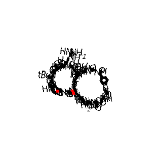 CC[C@H](C)[C@@H]1NC(=O)CNC(=O)C2CCC(CC2)CNC(=O)CNC(=O)C[C@@H](C(N)=O)NC(=O)[C@@H]2CCCN2C(=O)[C@H]([C@@H](C)CC)NC(=O)[C@@H]2CSSC[C@H](NC1=O)C(=O)N[C@@H](CO)C(=O)N[C@@H](CCCNC(=N)N)C(=O)N[C@@H](CO)C(=O)N[C@@H](CC(C)(C)C)C(=O)N1CCC[C@]13C(=O)NCCC[C@@H]3C(=O)N[C@@H]([C@@H](C)CC)C(=O)N2C